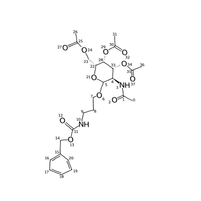 CC(=O)N[C@H]1C(OCCCNC(=O)OCc2ccccc2)O[C@H](COC(C)=O)[C@H](OC(C)=O)[C@@H]1OC(C)=O